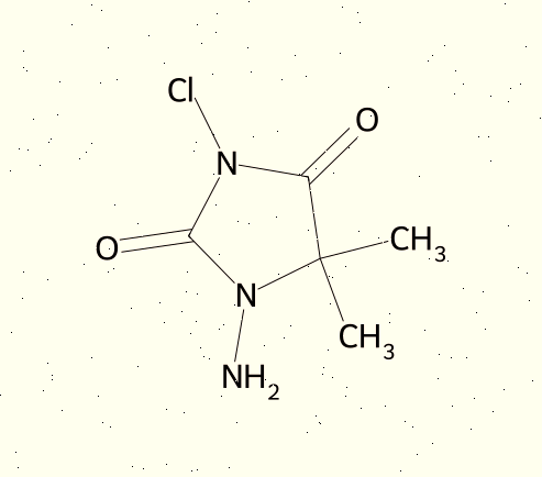 CC1(C)C(=O)N(Cl)C(=O)N1N